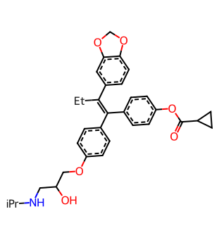 CCC(=C(c1ccc(OCC(O)CNC(C)C)cc1)c1ccc(OC(=O)C2CC2)cc1)c1ccc2c(c1)OCO2